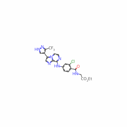 CCOC(=O)CNC(=O)c1ccc(Nc2nccn3c(-c4c[nH]nc4C(F)(F)F)cnc23)cc1Cl